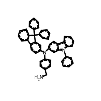 NCc1ccc(N(c2ccc3c(c2)C(c2ccccc2)(c2ccccc2)c2ccccc2-3)c2ccc3c4ccccc4n(-c4ccccc4)c3c2)cc1